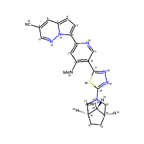 CNc1cc(-c2ccc3cc(C#N)cnn23)ncc1-c1nnc(N2C[C@H]3CC[C@@H](C2)[C@@H]3NC(C)=O)s1